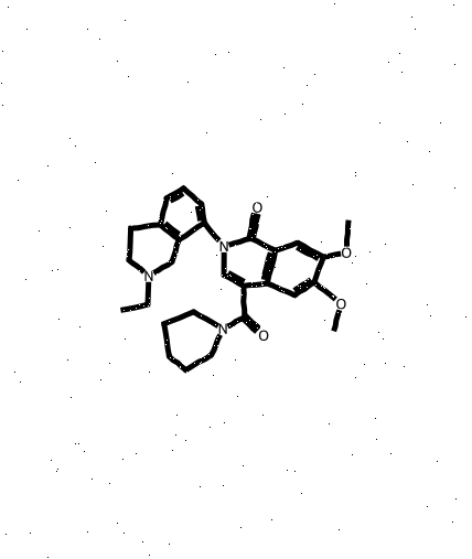 CCN1CCc2cccc(-n3cc(C(=O)N4CCCCC4)c4cc(OC)c(OC)cc4c3=O)c2C1